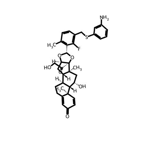 Cc1ccc(CSc2cccc(N)c2)c(F)c1[C@H]1O[C@@H]2C[C@H]3[C@@H]4CCC5=CC(=O)C=C[C@]5(C)[C@H]4[C@@H](O)C[C@]3(C)[C@]2(C(=O)CO)O1